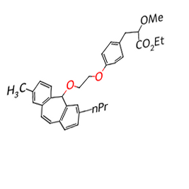 CCCc1ccc2c(c1)C(OCCOc1ccc(CC(OC)C(=O)OCC)cc1)c1ccc(C)cc1C=C2